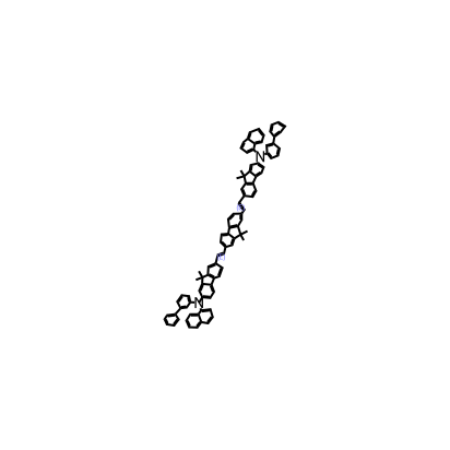 CC1(C)c2cc(/C=C/c3ccc4c(c3)C(C)(C)c3cc(N(c5cccc(-c6ccccc6)c5)c5cccc6ccccc56)ccc3-4)ccc2-c2ccc(/C=C/c3ccc4c(c3)C(C)(C)c3cc(N(c5cccc(-c6ccccc6)c5)c5cccc6ccccc56)ccc3-4)cc21